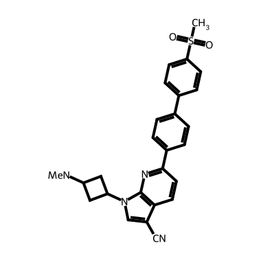 CNC1CC(n2cc(C#N)c3ccc(-c4ccc(-c5ccc(S(C)(=O)=O)cc5)cc4)nc32)C1